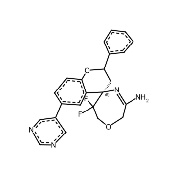 NC1=N[C@@]2(CC(c3ccccc3)Oc3ccc(-c4cncnc4)cc32)C(F)(F)COC1